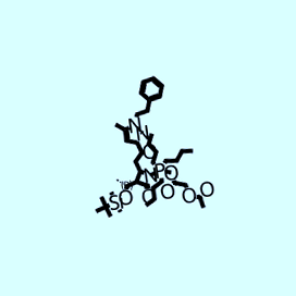 CCCCP(CCCC)(CCCC)(OC(=O)COC(C)=O)N1C(=O)C([C@@H](C)O[Si](C)(C)C(C)(C)C)C1CC(=O)c1cc(C)n(CCc2ccccc2)n1